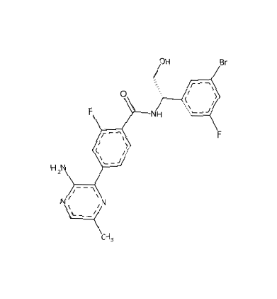 Cc1cnc(N)c(-c2ccc(C(=O)N[C@H](CO)c3cc(F)cc(Br)c3)c(F)c2)n1